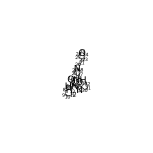 NC1(C(=O)N[C@H](Cc2ccccc2)C(=O)NC2CCN(CCC3CCOCC3)CC2)CCCC1